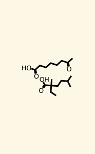 CC(=O)CCCCCC(=O)O.CCC(C)(CCC(C)C)C(=O)O